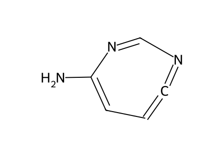 NC1=CC=C=NC=N1